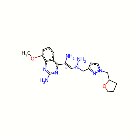 COc1cccc2c(/C(N)=C/N(N)Cc3ccn(CC4CCCO4)n3)nc(N)nc12